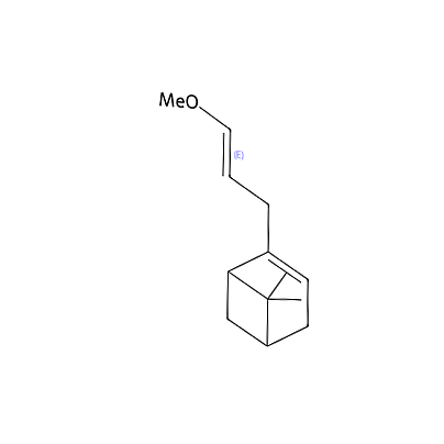 CO/C=C/CC1=CCC2CC1C2(C)C